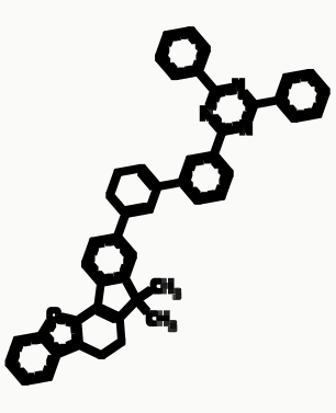 CC1(C)C2=C(c3ccc(C4=CC(c5cccc(-c6nc(-c7ccccc7)nc(-c7ccccc7)n6)c5)=CCC4)cc31)c1oc3ccccc3c1CC2